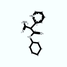 NC(=S)C(C(=O)OC1CCCCC1)c1ccccn1